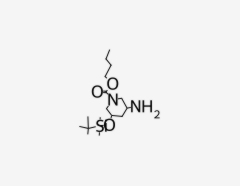 CCCCOC(=O)N1CC(N)CC(O[Si](C)(C)C(C)(C)C)C1